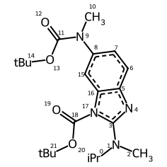 CC(C)N(C)c1nc2ccc(N(C)C(=O)OC(C)(C)C)cc2n1C(=O)OC(C)(C)C